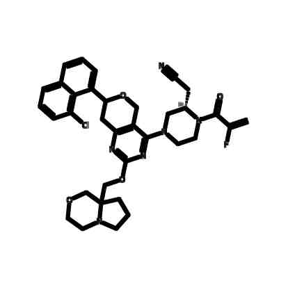 C=C(F)C(=O)N1CCN(c2nc(OCC34CCCN3CCOC4)nc3c2COC(c2cccc4cccc(Cl)c24)C3)C[C@@H]1CC#N